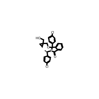 C[C@H](c1ccc(Cl)cc1)N1C(=O)c2ccccc2C1(OCC1(CO)CC1)c1ccc(Cl)cc1